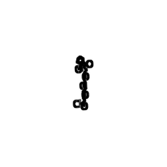 O=C(Cl)CCOCCOCCOCCN1C(=O)c2ccccc2C1=O